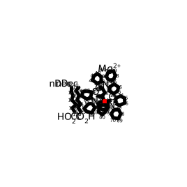 CCCCCCCCCCCCCCCCCC(=O)O.CCCCCCCCCCCCCCCCCC(=O)O.O=C(CC(CC(=O)[N+](C1CCCCC1)(C1CCCCC1)C1CCCCC1)C(=O)[N+](C1CCCCC1)(C1CCCCC1)C1CCCCC1)[N+](C1CCCCC1)(C1CCCCC1)C1CCCCC1.[Mg+2]